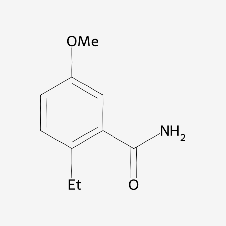 CCc1ccc(OC)cc1C(N)=O